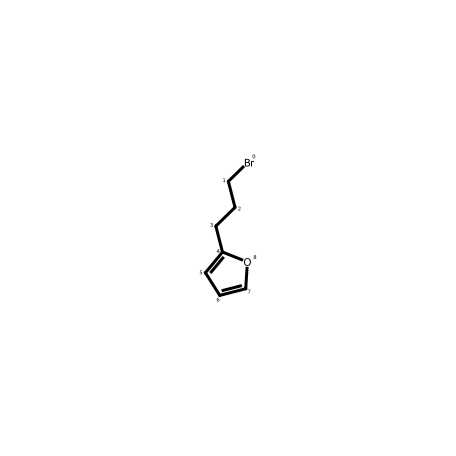 BrCCCc1ccco1